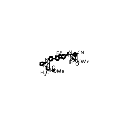 COC(=O)NCC(C)CC(=O)N1C2CCC(C2)C1c1nc2ccc(-c3ccc4c(c3)C(F)(F)c3cc(-c5cnc(C6CC(C#N)CN6C(=O)C(NC(=O)OC)C(C)C)[nH]5)ccc3-4)cc2[nH]1